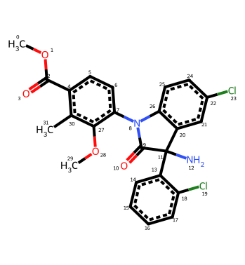 COC(=O)c1ccc(N2C(=O)C(N)(c3ccccc3Cl)c3cc(Cl)ccc32)c(OC)c1C